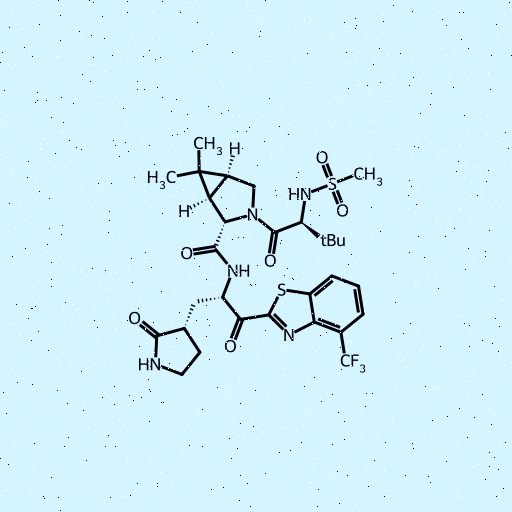 CC(C)(C)[C@H](NS(C)(=O)=O)C(=O)N1C[C@H]2[C@@H]([C@H]1C(=O)N[C@@H](C[C@@H]1CCNC1=O)C(=O)c1nc3c(C(F)(F)F)cccc3s1)C2(C)C